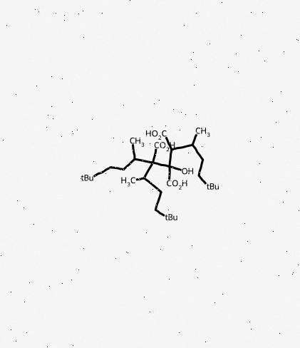 CC(CCC(C)(C)C)C(C(=O)O)C(O)(C(=O)O)C(C(=O)O)(C(C)CCC(C)(C)C)C(C)CCC(C)(C)C